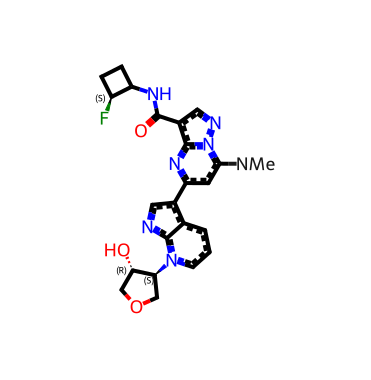 CNc1cc(-c2cnc3n([C@H]4COC[C@@H]4O)cccc2-3)nc2c(C(=O)NC3CC[C@@H]3F)cnn12